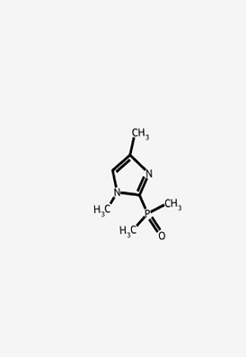 Cc1cn(C)c(P(C)(C)=O)n1